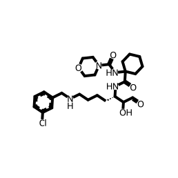 O=CC(O)[C@H](CCCCNCc1cccc(Cl)c1)NC(=O)C1(NC(=O)N2CCOCC2)CCCCC1